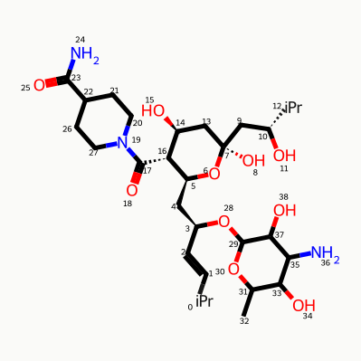 CC(C)/C=C/[C@@H](C[C@@H]1O[C@](O)(C[C@@H](O)C(C)C)C[C@H](O)[C@H]1C(=O)N1CCC(C(N)=O)CC1)OC1OC(C)C(O)C(N)C1O